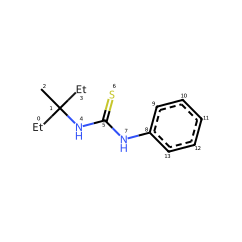 CCC(C)(CC)NC(=S)Nc1ccccc1